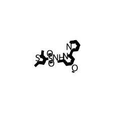 COc1cc(CNS(=O)(=O)c2cc(C)sc2C)nc(-c2ccccn2)c1